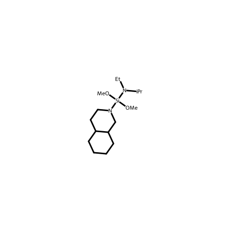 CCN(C(C)C)[Si](OC)(OC)N1CCC2CCCCC2C1